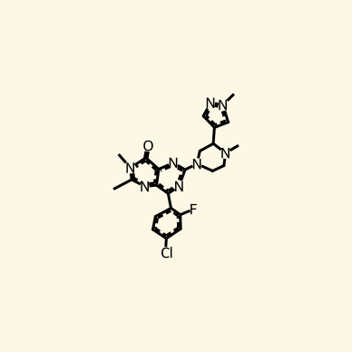 Cc1nc2c(-c3ccc(Cl)cc3F)nc(N3CCN(C)C(c4cnn(C)c4)C3)nc2c(=O)n1C